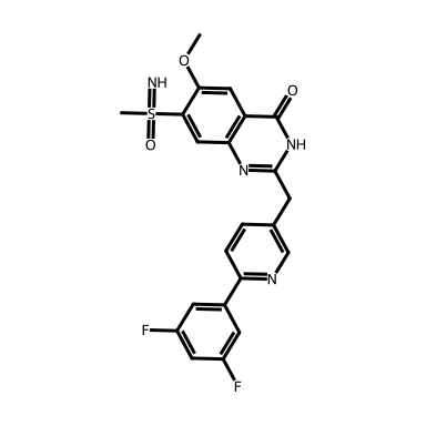 COc1cc2c(=O)[nH]c(Cc3ccc(-c4cc(F)cc(F)c4)nc3)nc2cc1S(C)(=N)=O